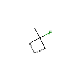 [CH2]C1(F)CCC1